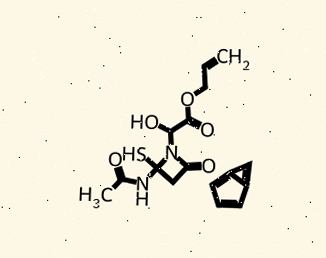 C=CCOC(=O)C(O)N1C(=O)CC1(S)NC(C)=O.c1cc2cc-2c1